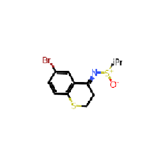 CC(C)[S@@+]([O-])/N=C1\CCSc2ccc(Br)cc21